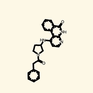 O=C(Cc1ccccc1)N1CCC(Nc2ccnc3[nH]c(=O)c4ccccc4c23)C1